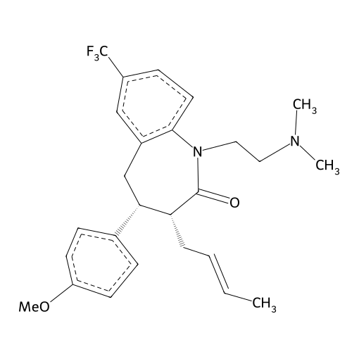 CC=CC[C@H]1C(=O)N(CCN(C)C)c2ccc(C(F)(F)F)cc2C[C@H]1c1ccc(OC)cc1